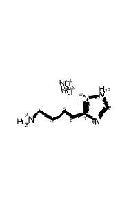 Cl.Cl.NCCCCc1nc[nH]n1